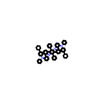 c1ccc(-c2c3c4cccc5c6c(N(c7ccccc7)c7ccc(C8CCCCC8)cc7)cccc6n(c3c(-c3ccccc3)c3c6cccc7c8c(N(c9ccccc9)c9ccc(C%10CCCCC%10)cc9)cccc8n(c23)c76)c54)cc1